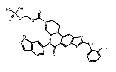 O=C(Nc1ccc2cn[nH]c2c1)c1cc2nc(Nc3ccccc3C(F)(F)F)[nH]c2cc1N1CCN(C(=O)OCOP(=O)(O)O)CC1